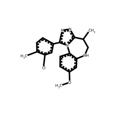 COc1ccc2c(c1)NCC(C)c1nnc(-c3ccc(C)c(Cl)c3)n1-2